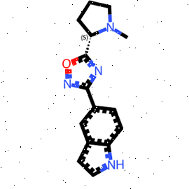 CN1CCC[C@H]1c1nc(-c2ccc3[nH]ccc3c2)no1